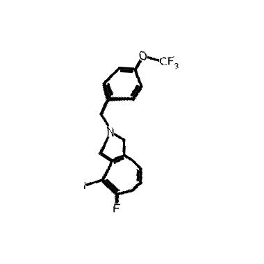 Fc1ccc2c(c1I)CN(Cc1ccc(OC(F)(F)F)cc1)C2